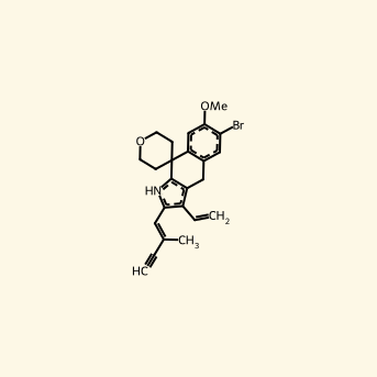 C#C/C(C)=C/c1[nH]c2c(c1C=C)Cc1cc(Br)c(OC)cc1C21CCOCC1